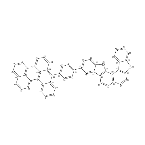 c1ccc2c(-c3c4ccccc4c(-c4ccc(-c5ccc6oc7c(ccc8ccc9sc%10ccccc%10c9c87)c6c5)cc4)c4ccccc34)cccc2c1